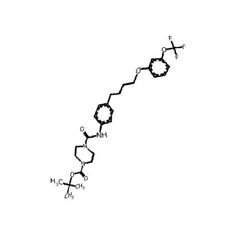 CC(C)(C)OC(=O)N1CCN(C(=O)Nc2ccc(CCCCOc3cccc(OC(F)(F)F)c3)cc2)CC1